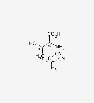 CC#N.CC#N.C[C@@H](O)[C@H](N)C(=O)O